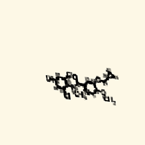 COc1cnc(C(=O)N(C)c2c(Cl)c[n+]([O-])cc2Cl)cc1OCC1CC1